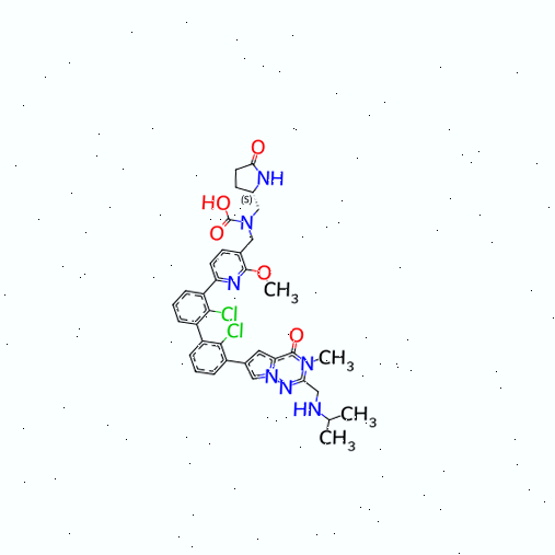 COc1nc(-c2cccc(-c3cccc(-c4cc5c(=O)n(C)c(CNC(C)C)nn5c4)c3Cl)c2Cl)ccc1CN(C[C@@H]1CCC(=O)N1)C(=O)O